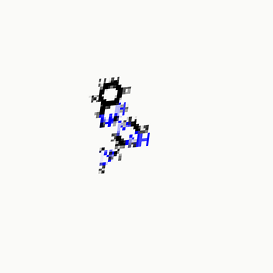 CN(C)C[C@@H]1CN(c2ncc3c(n2)CCCC3)CCN1